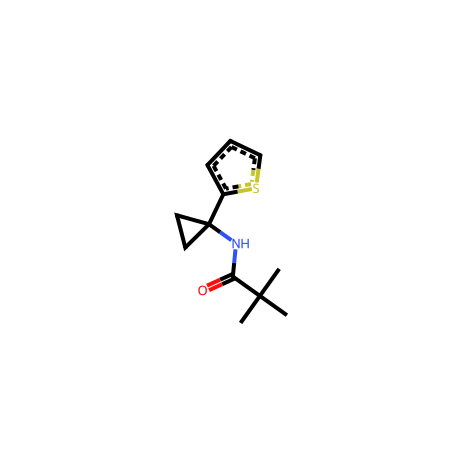 CC(C)(C)C(=O)NC1(c2cccs2)CC1